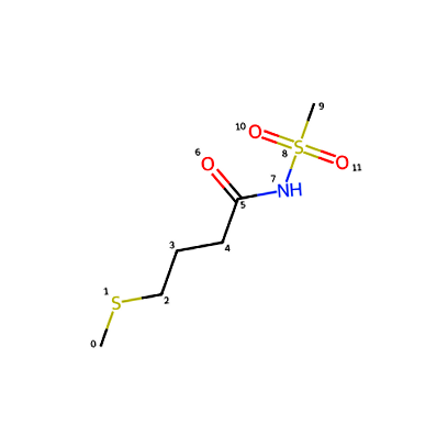 CSCCCC(=O)NS(C)(=O)=O